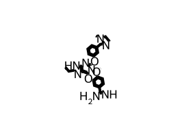 CCc1nc2c(Oc3cc(C(=N)N)ccc3OC)nc(Oc3cccc(C4=NCCN4C)c3)nc2[nH]1